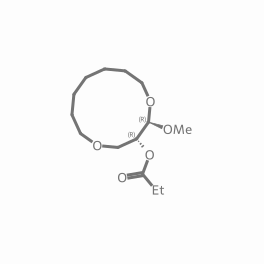 CCC(=O)O[C@@H]1COCCCCCCCO[C@H]1OC